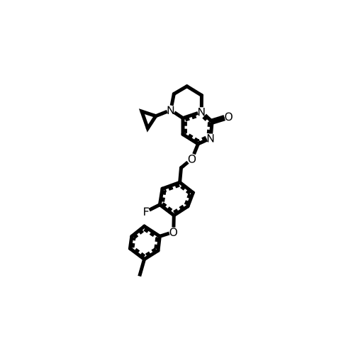 Cc1cccc(Oc2ccc(COc3cc4n(c(=O)n3)CCCN4C3CC3)cc2F)c1